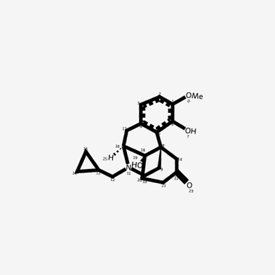 COc1ccc2c(c1O)[C@@]13CCN(CC4CC4)[C@@H](C2)[C@@]1(O)CCC(=O)C3